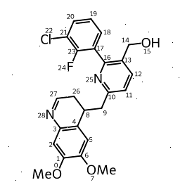 COc1cc2c(cc1OC)C(Cc1ccc(CO)c(-c3cccc(Cl)c3F)n1)CC=N2